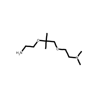 CN(C)CCOCC(C)(C)OCCN